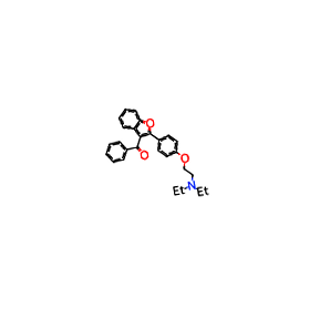 CCN(CC)CCOc1ccc(-c2oc3ccccc3c2C(=O)c2ccccc2)cc1